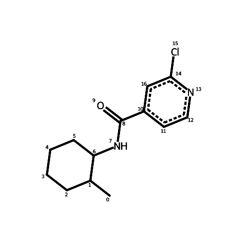 CC1CCCCC1NC(=O)c1ccnc(Cl)c1